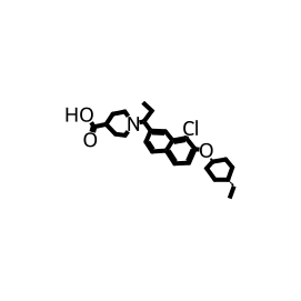 CCC(c1ccc2ccc(O[C@H]3CC[C@@H](CC)CC3)c(Cl)c2c1)N1CCC(C(=O)O)CC1